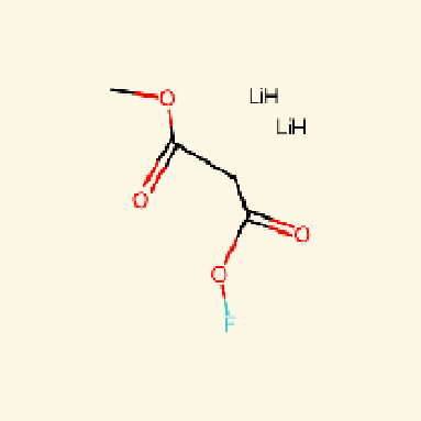 COC(=O)CC(=O)OF.[LiH].[LiH]